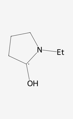 CCN1CCC[C]1O